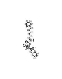 O=C(CN1C(=O)CC1[S+]([O-])Cc1ccccc1)NCCCCCCc1ccccn1